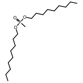 CCCCCCCCCOP(C)(=O)OCCCCCCCCC